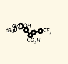 CC(C)(C)OC(=O)N1CCCC(O)(c2ccc(-c3cc(C(=O)O)cc4cc(-c5ccc(C(F)(F)F)cc5)ccc34)cc2)CC1